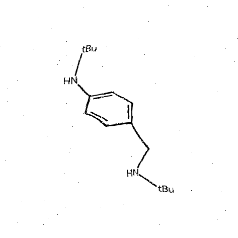 CC(C)(C)NCc1ccc(NC(C)(C)C)cc1